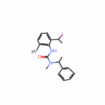 CC(C)c1cccc(C(C)I)c1NC(=O)N(C)C(C)c1ccccc1